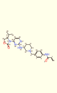 C=CC(=O)Nc1ccc(CN2CCCC(Nc3nccc(N4C(=O)OCC4C(C)C)n3)C2)cc1